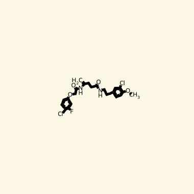 C=C(CCC(=O)NCCc1ccc(OC)c(Cl)c1)NC(=O)COc1ccc(Cl)c(F)c1